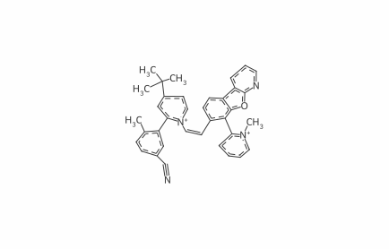 Cc1ccc(C#N)cc1-c1cc(C(C)(C)C)cc[n+]1/C=C\c1ccc2c(oc3ncccc32)c1-c1cccc[n+]1C